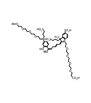 COCCOCCOCCOCCN(CCCS(=O)(=O)O)c1ccc(/C(=C\C/C=C/C=C2/N(CCOCCOCCOCCOCCC(=O)O)c3ccc(S(=O)(=O)O)cc3C2(C)CCCS(=O)(=O)O)C(C)(C)C)c(O)c1